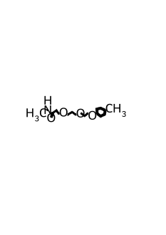 CNC(=O)CCOCCCOCCOc1ccc(C)cc1